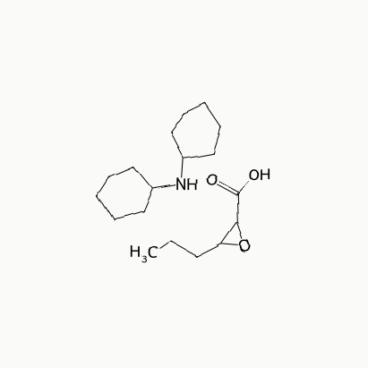 C1CCC(NC2CCCCC2)CC1.CCCC1OC1C(=O)O